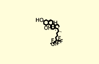 COC(F)(F)C(CCC[C@@H](C)[C@H]1CC[C@H]2C3=CC=C4C[C@@H](O)C[C@H](O)[C@]4(C)[C@H]3CC[C@]12C)C(F)(F)F